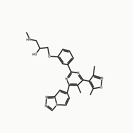 CNCC(O)COc1cccc(-c2nc(-c3ccn4cnnc4c3)c(C)c(-c3c(C)noc3C)n2)c1